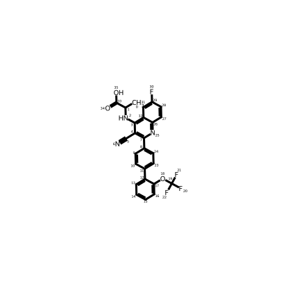 CC(Nc1c(C#N)c(-c2ccc(-c3ccccc3OC(F)(F)F)cc2)nc2ccc(F)cc12)C(=O)O